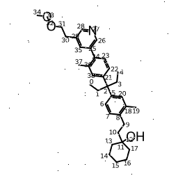 CCC(CC)(c1ccc(CCC2(O)CCCCC2)c(C)c1)c1ccc(-c2cncc(CCOOC)c2)c(C)c1